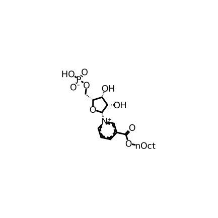 CCCCCCCCOC(=O)c1ccc[n+]([C@@H]2O[C@H](COP(=O)([O-])O)[C@H](O)[C@@H]2O)c1